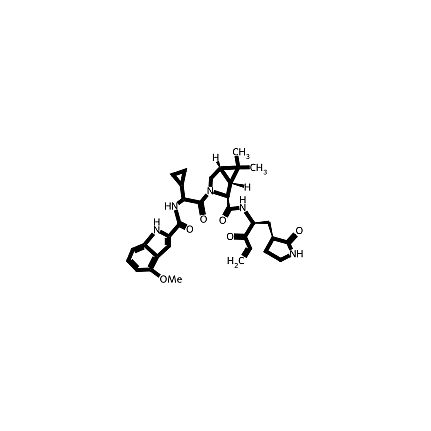 C=CC(=O)[C@H](C[C@@H]1CCNC1=O)NC(=O)[C@@H]1[C@@H]2[C@H](CN1C(=O)C(NC(=O)c1cc3c(OC)cccc3[nH]1)C1CC1)C2(C)C